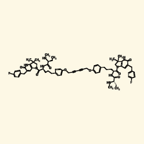 CC[C@H](NC)C(=O)N[C@@H](CCCc1ccc(OCC#CC#CCOc2ccc(CCC[C@H](NC(=O)[C@H](CC)NC)C(=O)N3CC(C)(C)c4[nH]c(=O)c(Cc5ccc(F)cc5)cc43)cc2)cc1)C(=O)N1CC(C)(C)c2[nH]c(=O)c(Cc3ccc(F)cc3)cc21